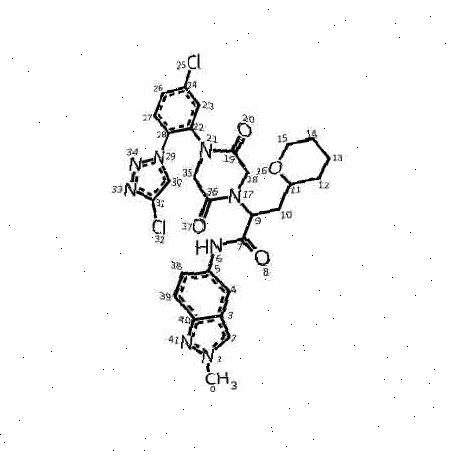 Cn1cc2cc(NC(=O)C(CC3CCCCO3)N3CC(=O)N(c4cc(Cl)ccc4-n4cc(Cl)nn4)CC3=O)ccc2n1